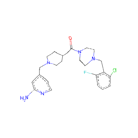 Nc1cc(CN2CCC(C(=O)N3CCN(Cc4c(F)cccc4Cl)CC3)CC2)ccn1